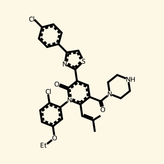 CCOc1ccc(Cl)c(-n2c(C=C(C)C)c(C(=O)N3CCNCC3)cc(-c3nc(-c4ccc(Cl)cc4)cs3)c2=O)c1